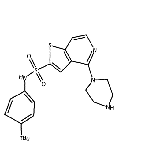 CC(C)(C)c1ccc(NS(=O)(=O)c2cc3c(N4CCNCC4)nccc3s2)cc1